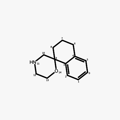 c1ccc2c(c1)CCCC21CNCCO1